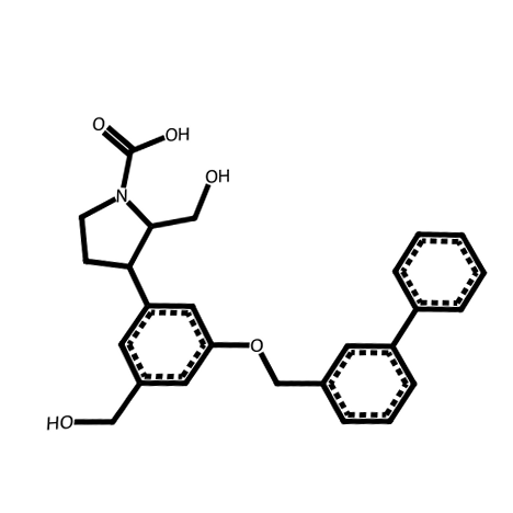 O=C(O)N1CCC(c2cc(CO)cc(OCc3cccc(-c4ccccc4)c3)c2)C1CO